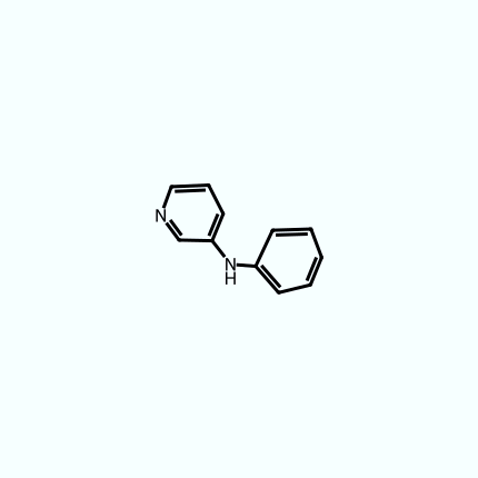 c1ccc(Nc2cccnc2)cc1